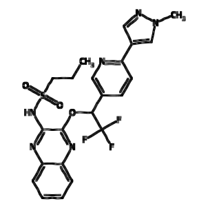 CCCS(=O)(=O)Nc1nc2ccccc2nc1OC(c1ccc(-c2cnn(C)c2)nc1)C(F)(F)F